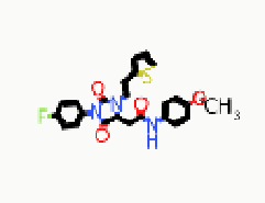 COc1ccc(NC(=O)CC2C(=O)N(c3ccc(F)cc3)C(=O)N2CCc2cccs2)cc1